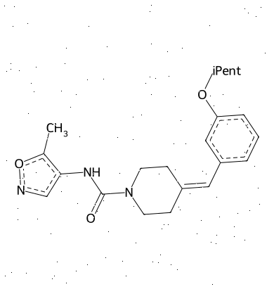 CCCC(C)Oc1cccc(C=C2CCN(C(=O)Nc3cnoc3C)CC2)c1